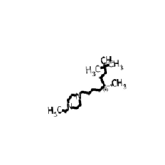 CC[C@H](CCCCN1CCN(CC)CC1)CCC(C)(C)C